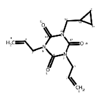 C=CCn1c(=O)n(CC=C)c(=O)n(CC2CC2)c1=O